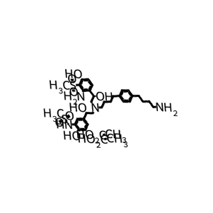 CC(=O)O.CC(=O)O.CS(=O)(=O)Nc1cc([C@@H](O)CN(CCCCc2ccc(CCCCN)cc2)C[C@H](O)c2ccc(O)c(S(C)(=O)=O)c2N)ccc1O